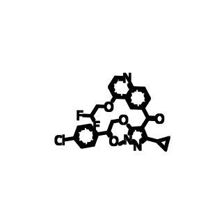 Cn1nc(C2CC2)c(C(=O)c2ccc3nccc(OCC(F)F)c3c2)c1OCC(=O)c1ccc(Cl)cc1